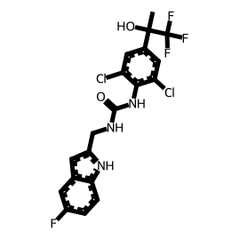 CC(O)(c1cc(Cl)c(NC(=O)NCc2cc3cc(F)ccc3[nH]2)c(Cl)c1)C(F)(F)F